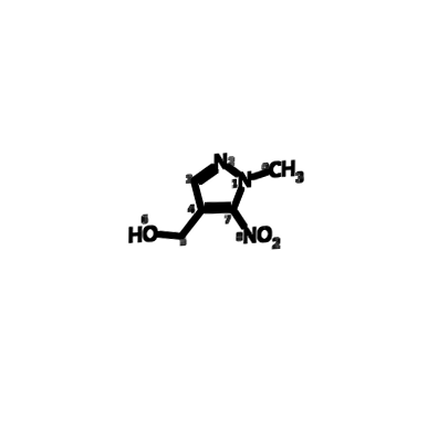 Cn1ncc(CO)c1[N+](=O)[O-]